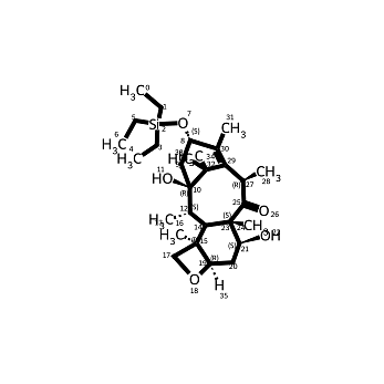 CC[Si](CC)(CC)O[C@H]1C[C@@]2(O)[C@@H](C)C3[C@]4(C)CO[C@@H]4C[C@H](O)[C@@]3(C)C(=O)[C@H](C)C(=C1C)C2(C)C